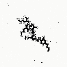 CCCCc1ccc(N=Nc2cc(C#N)c(N=Nc3sc(N(CC(CC)CCCC)CC(CC)CCCC)nc3C)s2)c(C)c1